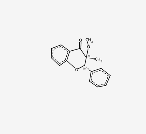 CO[C@]1(C)C(=O)c2ccccc2O[C@H]1c1ccccc1